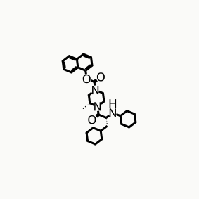 C[C@@H]1CN(C(=O)Oc2cccc3ccccc23)CCN1C(=O)[C@@H](CC1CCCCC1)NC1CCCCC1